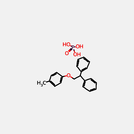 Cc1ccc(OCC(c2ccccc2)c2ccccc2)cc1.O=P(O)(O)O